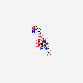 COC(=O)[C@H]1[C@H]2C[C@@H]3c4[nH]c5cc(OC)ccc5c4CCN3C[C@H]2C[C@@H](OC(=O)/C=C/c2ccc(C)c(C(=O)N(C)C)c2)[C@@H]1OC